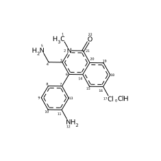 Cl.Cn1c(CN)c(-c2cccc(N)c2)c2cc(Cl)ccc2c1=O